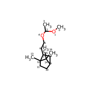 COC(C)OCCC1CC2CCC1(C)C2(C)C